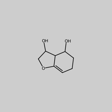 OC1CCC=C2OCC(O)C21